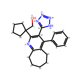 OCC1(c2nc3c(c(-c4ccccc4)c2-c2nnn[nH]2)CCCCC3)CCCC1